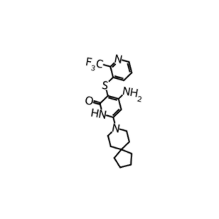 Nc1cc(N2CCC3(CCCC3)CC2)[nH]c(=O)c1Sc1cccnc1C(F)(F)F